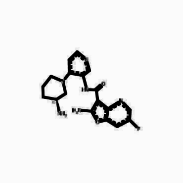 Nc1oc2cc(F)cnc2c1C(=O)Nc1cnccc1N1CCC[C@H](N)C1